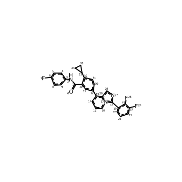 O=C(Nc1ccc(F)cc1)c1cc(-c2cccn3c(-c4cccc(F)c4F)ncc23)ccc1C1CC1